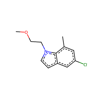 COCCn1ccc2cc(Cl)cc(C)c21